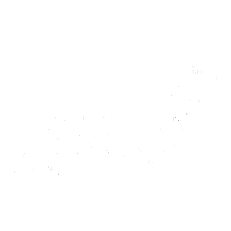 O=C(NCc1cnc(-c2cccc(C(O)(C(=O)OCC3CCN(Cc4ccccc4)CC3)c3ccccc3)c2)s1)c1ccc(CNC[C@H](O)c2ccc(O)c3[nH]c(=O)ccc23)cc1